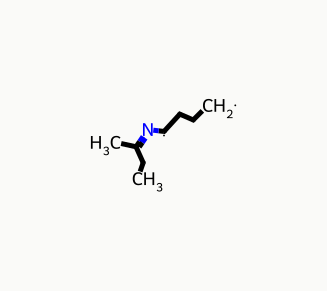 [CH2]CC[CH]N=C(C)CC